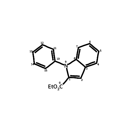 CCOC(=O)c1cc2ccccc2n1-c1ccccc1